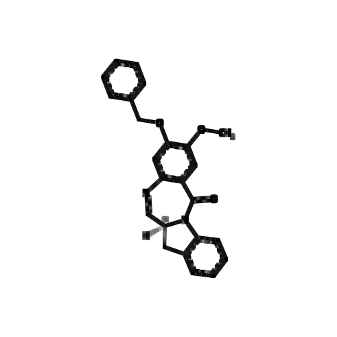 COc1cc2c(cc1OCc1ccccc1)N=C[C@@H]1Cc3ccccc3N1C2=O